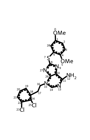 COc1ccc(OC)c(Sc2nc3c(N)ncn(CCc4cccc(Cl)c4Cl)c-3n2)c1